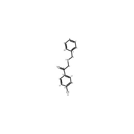 O=C(CSCc1ccccc1)c1ccc(Cl)cc1